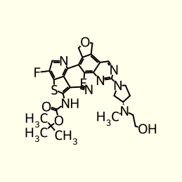 CN(CCO)[C@H]1CCN(c2ncc3c4c(c(-c5ncc(F)c6sc(NC(=O)OC(C)(C)C)c(C#N)c56)c(F)c3n2)COC4)C1